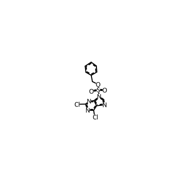 O=S(=O)(OCc1ccccc1)n1cnc2c(Cl)nc(Cl)nc21